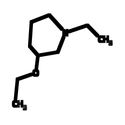 CCOC1CCCN(CC)C1